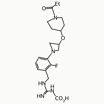 CCC(=O)N1CCC(OC2CN(c3cccc(CNC(=N)NC(=O)O)c3F)C2)CC1